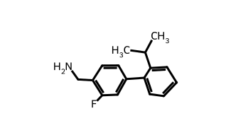 CC(C)c1ccccc1-c1ccc(CN)c(F)c1